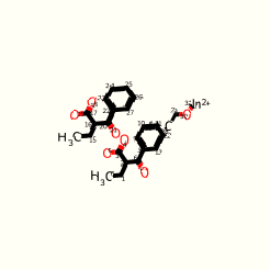 CCC(C(=O)[O-])C(=O)c1ccccc1.CCC(C(=O)[O-])C(=O)c1ccccc1.CC[O][In+2]